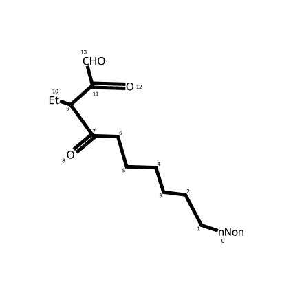 CCCCCCCCCCCCCCCC(=O)C(CC)C(=O)[C]=O